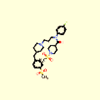 CS(=O)(=O)c1ccc(CC2CCN(CCCN(C(=O)C3CCN(S(C)(=O)=O)CC3)c3ccc(F)cc3)CC2)cc1